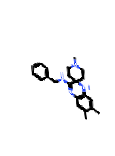 Cc1cc2c(cc1C)NC1(CCN(C)CC1)C(NCc1ccccc1)=N2